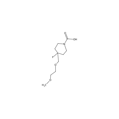 COCCOCC1(F)CCN(C(=O)O)CC1